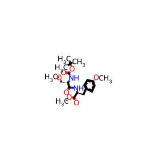 COC[C@H](NC(=O)OC(C)(C)C)C(=O)N[C@@H](Cc1ccc(OC)cc1)C(=O)OC